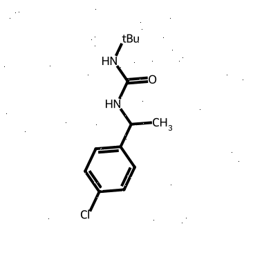 CC(NC(=O)NC(C)(C)C)c1ccc(Cl)cc1